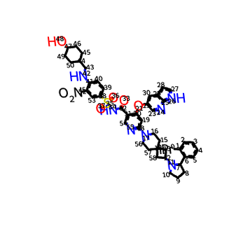 CC(C)c1ccccc1C1CCCN1C1CC2(CCN(c3cc(Oc4cnc5[nH]ccc5c4)c(C(=O)NS(=O)(=O)c4ccc(NCC5CCC(O)CC5)c([N+](=O)[O-])c4)cn3)CC2)C1